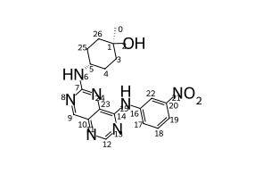 C[C@]1(O)CC[C@H](Nc2ncc3ncnc(Nc4cccc([N+](=O)[O-])c4)c3n2)CC1